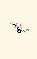 CCOC(=O)c1cccc2c1OB(O)[C@@H](NC(=O)CCC#N)C2